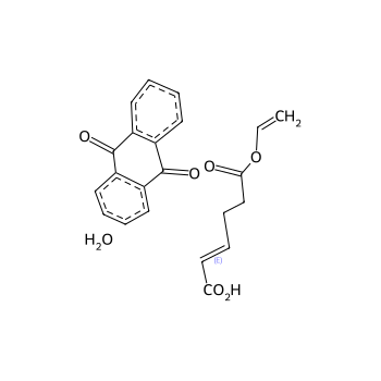 C=COC(=O)CC/C=C/C(=O)O.O.O=C1c2ccccc2C(=O)c2ccccc21